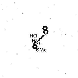 COc1cccc(S(=O)(=O)NCCCCCN2CCc3ccccc3C2)c1.Cl